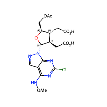 CONc1nc(Cl)nc2c1cnn2[C@@H]1O[C@@H](COC(C)=O)[C@H](CC(=O)O)[C@H]1CC(=O)O